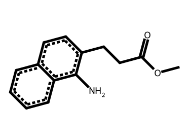 COC(=O)CCc1ccc2ccccc2c1N